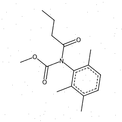 CCCC(=O)N(C(=O)OC)c1c(C)ccc(C)c1C